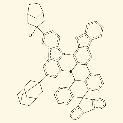 CCC1(c2ccc3c(c2)c2cc(C45CC6CC(CC(C6)C4)C5)cc4c2n3-c2c3c(cc5c2oc2ccccc25)-c2cccc5c2N(B34)c2ccccc2C52c3ccccc3-c3ccccc32)CC2CCC(C2)C1